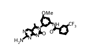 COc1cc(NC(=O)c2cccc(C(F)(F)F)c2)cc(-n2c(C)c3cnc(N)nc3nc2=O)c1